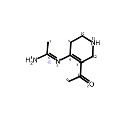 CC(=O)C1=C(/N=C(\C)N)CCNC1